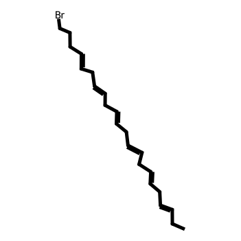 CCC=CCC=CCC=CCC=CCC=CCC=CCCCBr